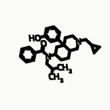 CC(C)CN(C(=O)c1ccccc1)C1CCC2CN(CC3CC3)CCC2(c2cccc(O)c2)C1